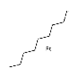 [CH2]CCCCCCCC.[Pt]